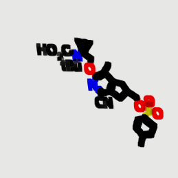 Cc1ccc(S(=O)(=O)OCC2Cc3c(C#N)nc(OCC4(N(C(=O)O)C(C)(C)C)CC4)c(C)c3C2)cc1